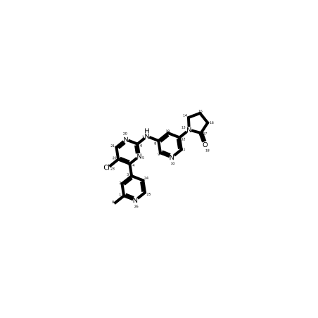 Cc1cc(-c2nc(Nc3cncc(N4CCCC4=O)c3)ncc2Cl)ccn1